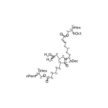 CCCCCCCCCCC(CCCCC=CC(=O)OCC(CCCCCC)CCCCCCCC)N(CCCN(C)C)C(=O)CCCCCCC(=O)OCC(CCCCC)CCCCCC